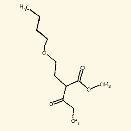 CCCCOCCC(C(=O)CC)C(=O)OC